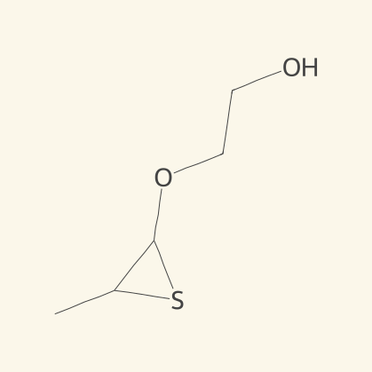 CC1SC1OCCO